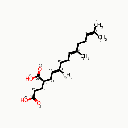 CC(C)=CCC/C(C)=C/CC/C(C)=C/CC(CCC(=O)O)C(=O)O